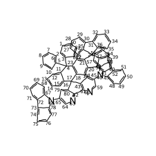 c1ccc(C2(c3ccccc3)c3ccccc3C3(c4cc5c(cc42)C2(c4ccccc4-c4ccccc42)c2ccccc2-5)c2cc(-n4c5ccccc5c5ccccc54)cnc2-c2ncc(-n4c5ccccc5c5ccccc54)cc23)cc1